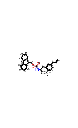 C=CCc1cccc(CC(NC(=O)OCC2c3ccccc3-c3ccccc32)C(=O)O)c1